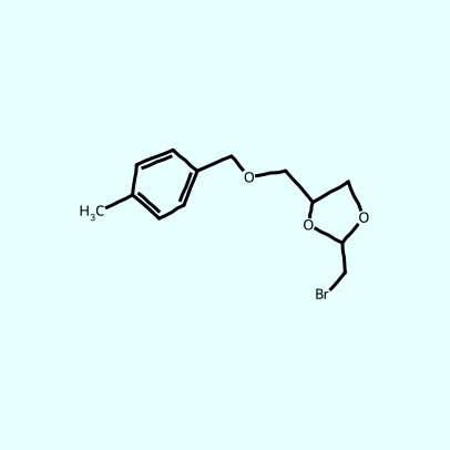 Cc1ccc(COCC2COC(CBr)O2)cc1